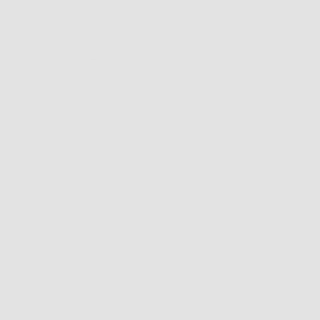 CCOC(=O)c1ccc(-c2ccc(OCCOC(C)=O)c(I)c2)cc1